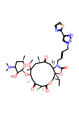 CC[C@H]1OC(=O)[C@@](C)(F)C(=O)[C@H](C)[C@@H](O[C@@H]2O[C@H](C)CC(N(C)C)C2O)[C@](C)(OC)C[C@@H](C)C(=O)[C@H](C)[C@H]2N(C/C=C/Cn3cc(-c4nccs4)nn3)C(=O)O[C@]12C